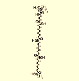 CN(O)C(=O)CCCCCCCN(O)C(=O)CCCCCCCN(O)C(=O)CCCCCCCN(O)C(=O)CCCNC(=O)OC(C)(C)C